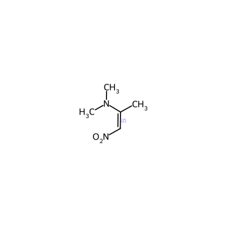 C/C(=C/[N+](=O)[O-])N(C)C